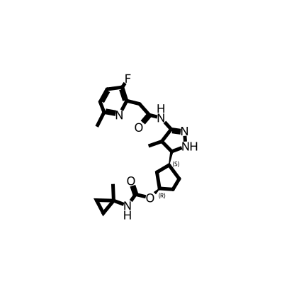 Cc1ccc(F)c(CC(=O)NC2=NNC([C@H]3CC[C@@H](OC(=O)NC4(C)CC4)C3)C2C)n1